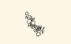 CN1C(=O)C=C[C@@]2(C)C1CC[C@@H]1[C@H]2CC[C@]2(C)C(NS(=O)(=O)c3ccccc3C(F)(F)F)CC[C@@H]12